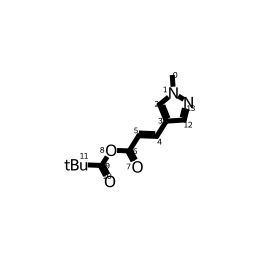 Cn1cc(/C=C/C(=O)OC(=O)C(C)(C)C)cn1